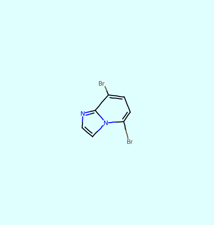 Brc1ccc(Br)n2ccnc12